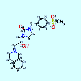 CS(=O)(=O)c1ccc(CN2CCN(C[C@H](O)CN3CCc4ccccc4C3)C2=O)cc1